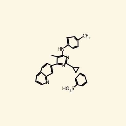 Cc1c(Nc2ccc(C(F)(F)F)cc2)nc(C2CC2)nc1-c1ccc2cccnc2c1.O=S(=O)(O)c1ccccc1